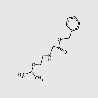 CC(C)OCCNCC(=O)OCc1ccccc1